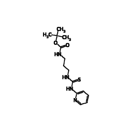 CC(C)(C)OC(=O)NCCCNC(=S)Nc1ccccn1